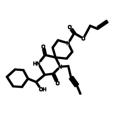 C=CCOC(=O)N1CCC2(CC1)C(=O)NC(C(O)C1CCCCC1)C(=O)N2CC#CC